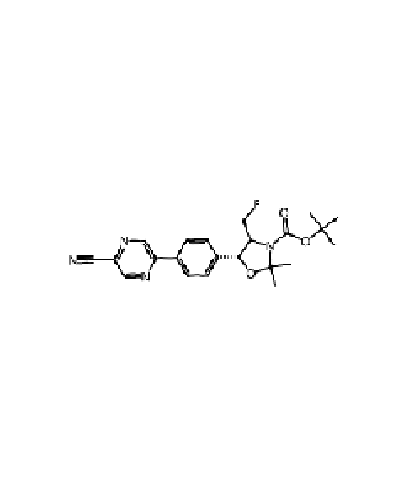 CC(C)(C)OC(=O)N1[C@H](CF)[C@@H](c2ccc(-c3cnc(C#N)cn3)cc2)OC1(C)C